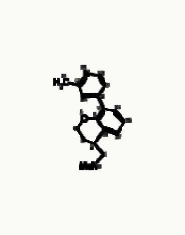 CNCC1CCOc2c(-c3ccnc(C)c3)cccc21